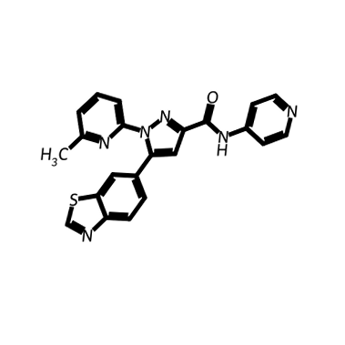 Cc1cccc(-n2nc(C(=O)Nc3ccncc3)cc2-c2ccc3ncsc3c2)n1